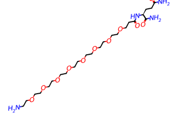 NCCOCCOCCOCCOCCOCCOCCOCCOCCC(=O)N[C@@H](CCC(N)=O)C(N)=O